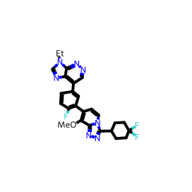 CCn1cnc2c(-c3ccc(F)c(-c4ccn5c(C6CCC(F)(F)CC6)nnc5c4OC)c3)cnnc21